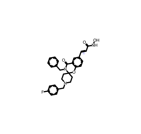 O=C(/C=C/c1ccc2c(c1)C(=O)N(Cc1ccccc1)C1(CCN(Cc3ccc(F)cc3)CC1)O2)NO